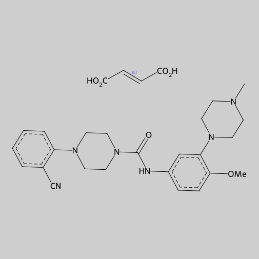 COc1ccc(NC(=O)N2CCN(c3ccccc3C#N)CC2)cc1N1CCN(C)CC1.O=C(O)/C=C/C(=O)O